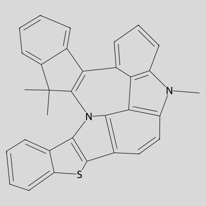 Cn1c2cccc3c4c(n5c6c7ccccc7sc6c6ccc1c(c32)c65)C(C)(C)c1ccccc1-4